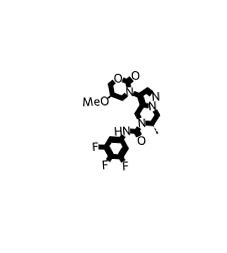 CO[C@@H]1COC(=O)N(c2cnn3c2CN(C(=O)Nc2cc(F)c(F)c(F)c2)[C@@H](C)C3)C1